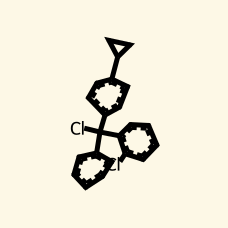 Clc1ccccc1C(Cl)(c1ccccc1)c1ccc(C2CC2)cc1